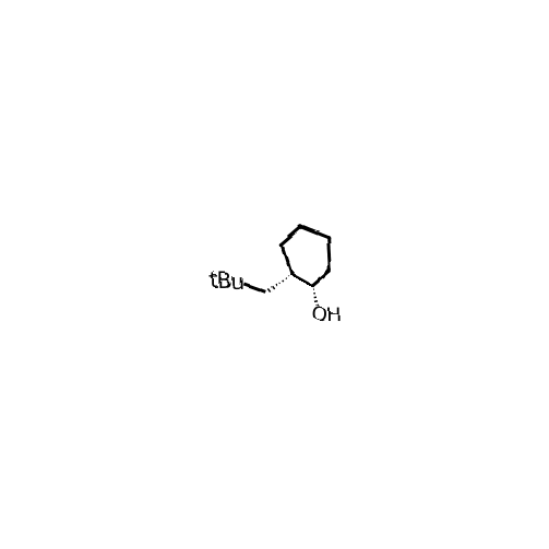 CC(C)(C)C[C@@H]1CCCC[C@@H]1O